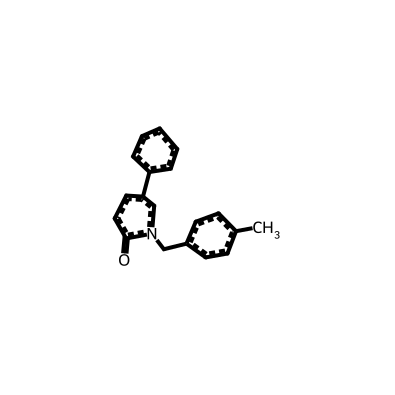 Cc1ccc(Cn2cc(-c3ccccc3)ccc2=O)cc1